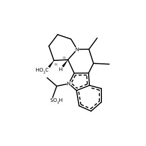 CC1c2c(n(C(C)S(=O)(=O)O)c3ccccc23)[C@@H]2[C@@H](C(=O)O)CCCN2C1C